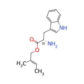 CC=C(C)COC(=O)[C@@H](N)Cc1c[nH]c2ccccc12